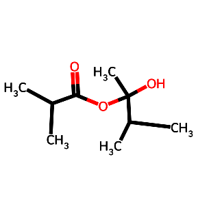 CC(C)C(=O)OC(C)(O)C(C)C